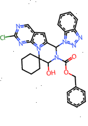 O=C(OCc1ccccc1)N1C(n2nnc3ccccc32)c2cc3cnc(Cl)nc3n2C2(CCCCC2)C1O